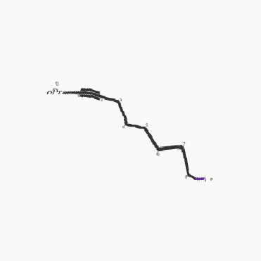 CCCC#CCCCCCCI